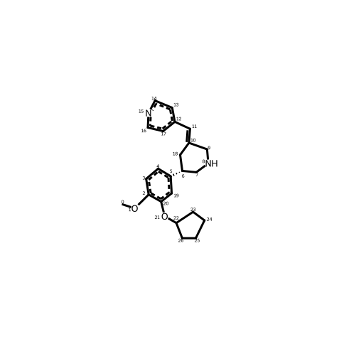 COc1ccc([C@H]2CNC/C(=C/c3ccncc3)C2)cc1OC1CCCC1